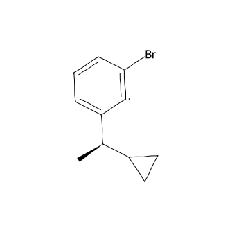 C[C@@H](c1[c]c(Br)ccc1)C1CC1